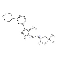 C=c1c(-c2ccnc(N3CCOCC3)c2)n[nH]/c1=C/C=C(\C)CC(C)(C)O